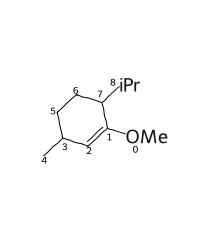 COC1=CC(C)CCC1C(C)C